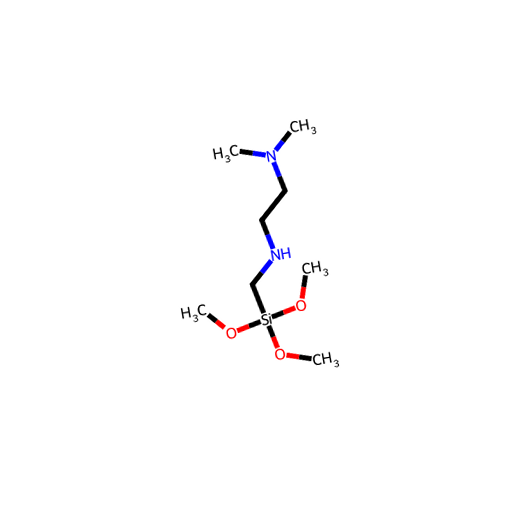 CO[Si](CNCCN(C)C)(OC)OC